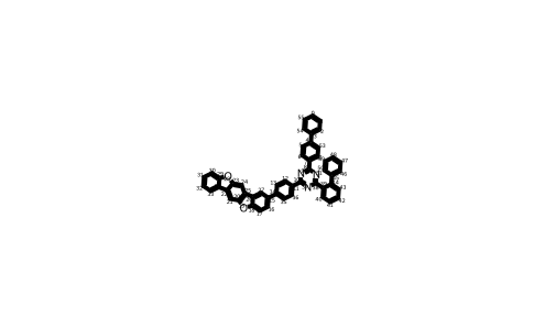 c1ccc(-c2ccc(-c3nc(-c4ccc(-c5ccc6oc7cc8c(cc7c6c5)oc5ccccc58)cc4)nc(-c4ccccc4-c4ccccc4)n3)cc2)cc1